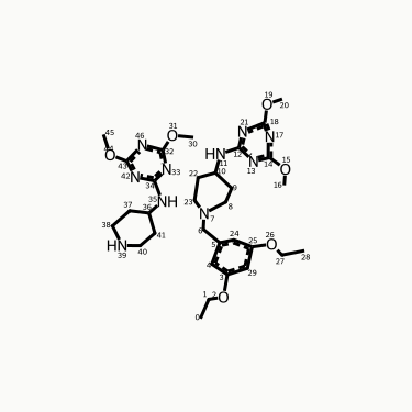 CCOc1cc(CN2CCC(Nc3nc(OC)nc(OC)n3)CC2)cc(OCC)c1.COc1nc(NC2CCNCC2)nc(OC)n1